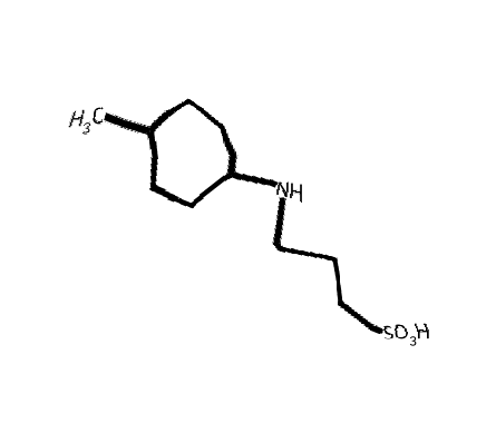 CC1CCC(NCCCS(=O)(=O)O)CC1